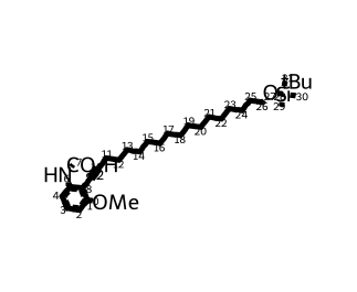 COc1cccc(NC(=O)O)c1C#CCCCCCCCCCCCCCCCCO[Si](C)(C)C(C)(C)C